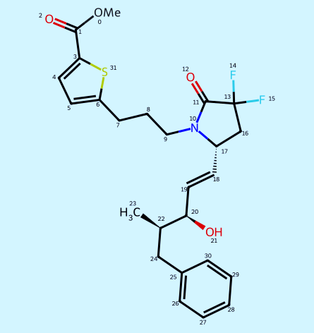 COC(=O)c1ccc(CCCN2C(=O)C(F)(F)C[C@@H]2C=C[C@@H](O)[C@H](C)Cc2ccccc2)s1